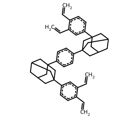 C=Cc1ccc(C23CC4CC(CC(c5ccc(C67CC8CC(C6)CC(c6ccc(C=C)c(C=C)c6)(C8)C7)cc5)(C4)C2)C3)cc1C=C